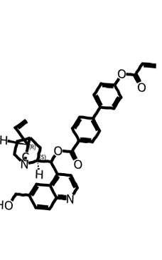 C=CC(=O)Oc1ccc(-c2ccc(C(=O)OC(c3ccnc4ccc(CO)cc34)[C@@H]3CC4CCN3C[C@@H]4C=C)cc2)cc1